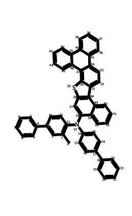 Cc1cc(-c2ccccc2)ccc1N(c1ccc(-c2ccccc2)cc1)c1cc2sc3c(ccc4c5ccccc5c5ccccc5c43)c2c2ccccc12